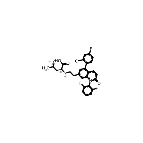 CC(C)C[C@H](NCCc1cc(-c2ccc(F)cc2Cl)c2ccc(=O)n(-c3c(F)cccc3F)c2c1)C(=O)O